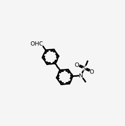 CN(c1cccc(-c2ccc(C=O)cc2)c1)S(C)(=O)=O